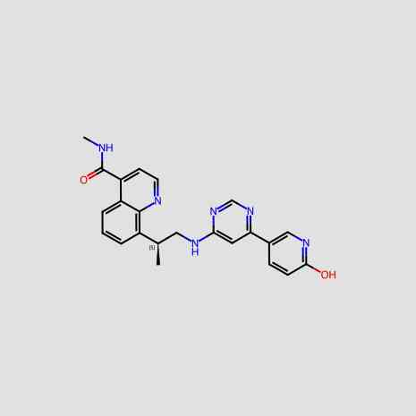 CNC(=O)c1ccnc2c([C@H](C)CNc3cc(-c4ccc(O)nc4)ncn3)cccc12